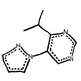 CC(C)c1ncncc1-n1cccn1